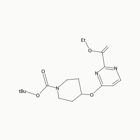 C=C(OCC)c1nccc(OC2CCN(C(=O)OC(C)(C)C)CC2)n1